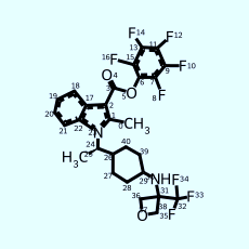 Cc1c(C(=O)Oc2c(F)c(F)c(F)c(F)c2F)c2ccccc2n1[C@H](C)C1CCC(NC2(C(F)(F)F)COC2)CC1